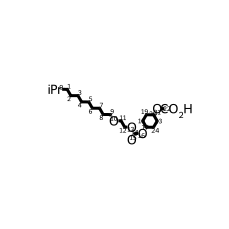 CC(C)CCCCCCCCCOCCOC(=O)OC1CCC(OC(=O)O)CC1